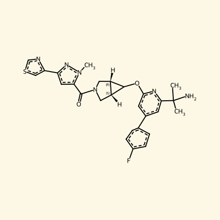 Cn1nc(-c2cscn2)cc1C(=O)N1C[C@@H]2C(Oc3cc(-c4ccc(F)cc4)cc(C(C)(C)N)n3)[C@@H]2C1